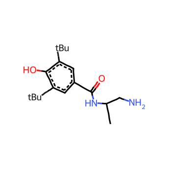 CC(CN)NC(=O)c1cc(C(C)(C)C)c(O)c(C(C)(C)C)c1